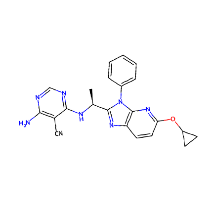 C[C@H](Nc1ncnc(N)c1C#N)c1nc2ccc(OC3CC3)nc2n1-c1ccccc1